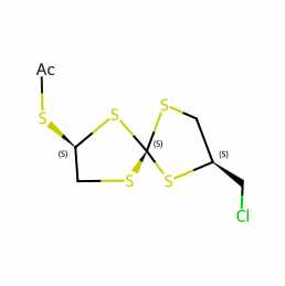 CC(=O)S[C@@H]1CS[C@]2(SC[C@@H](CCl)S2)S1